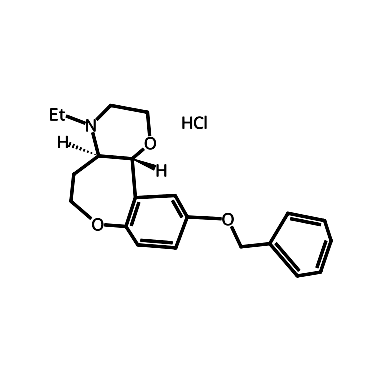 CCN1CCO[C@@H]2c3cc(OCc4ccccc4)ccc3OCC[C@H]21.Cl